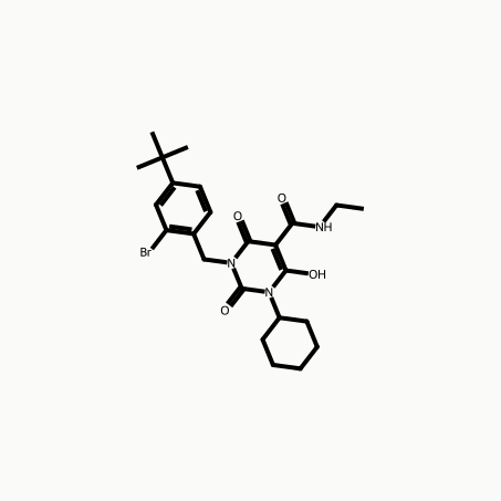 CCNC(=O)c1c(O)n(C2CCCCC2)c(=O)n(Cc2ccc(C(C)(C)C)cc2Br)c1=O